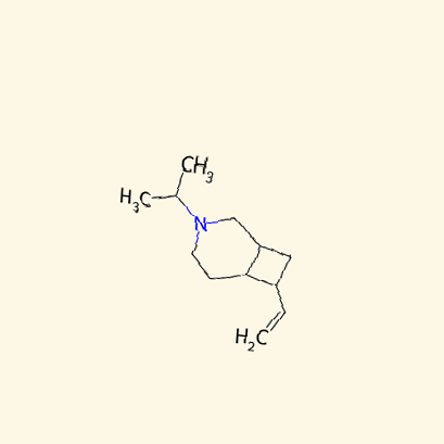 C=CC1CC2CN(C(C)C)CCC12